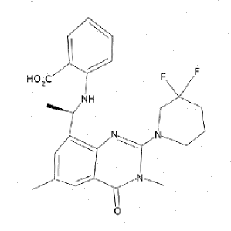 Cc1cc([C@@H](C)Nc2ccccc2C(=O)O)c2nc(N3CCCC(F)(F)C3)n(C)c(=O)c2c1